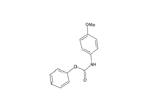 COc1ccc(NC(=O)Oc2ccccc2)cc1